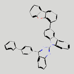 c1ccc(-c2ccc(-c3nc(-n4c5ccccc5c5cc(-c6cccc7c6oc6ccccc67)ccc54)nc4ccccc34)cc2)cc1